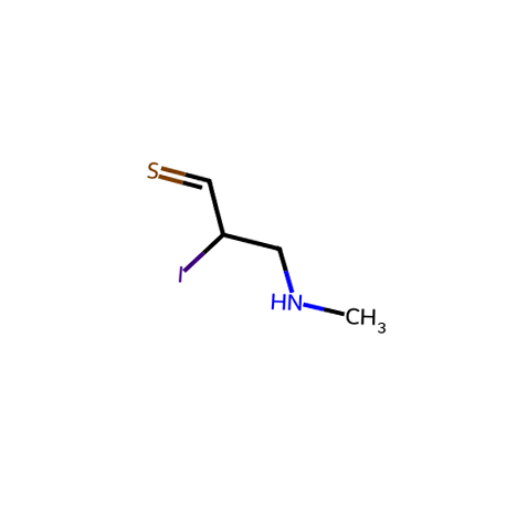 CNCC(I)C=S